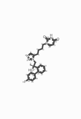 C[C@@](O)(Cn1nncc1CCCCn1ccc(=O)[nH]c1=O)c1ccccc1-c1ccc(F)cc1